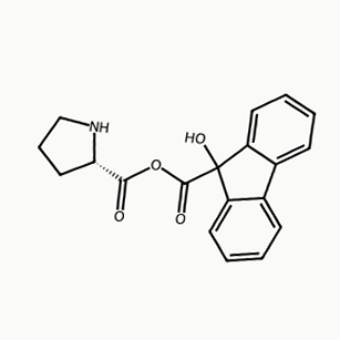 O=C(OC(=O)C1(O)c2ccccc2-c2ccccc21)[C@@H]1CCCN1